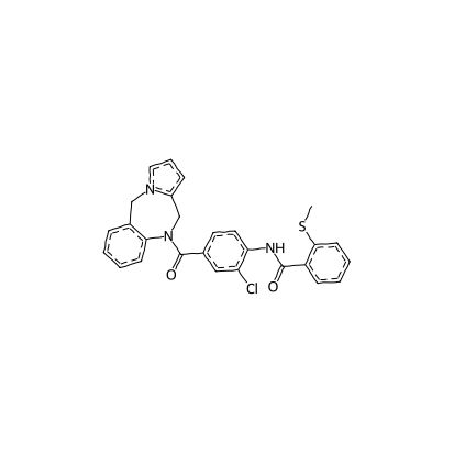 CSc1ccccc1C(=O)Nc1ccc(C(=O)N2Cc3cccn3Cc3ccccc32)cc1Cl